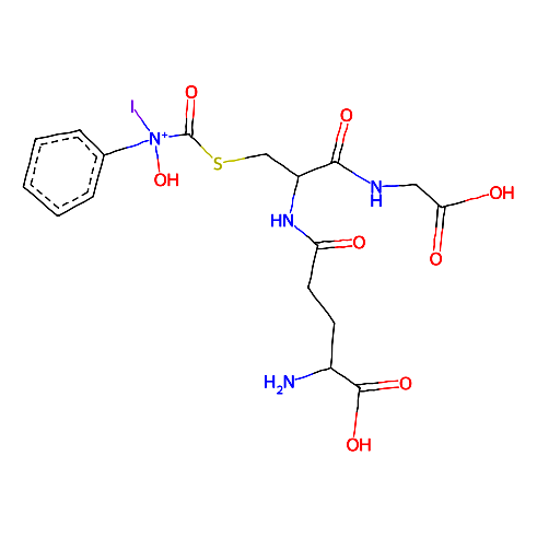 NC(CCC(=O)NC(CSC(=O)[N+](O)(I)c1ccccc1)C(=O)NCC(=O)O)C(=O)O